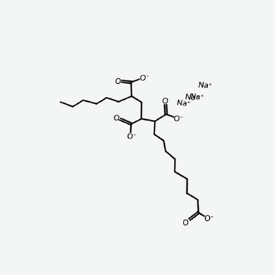 CCCCCCC(CC(C(=O)[O-])C(CCCCCCCCC(=O)[O-])C(=O)[O-])C(=O)[O-].[Na+].[Na+].[Na+].[Na+]